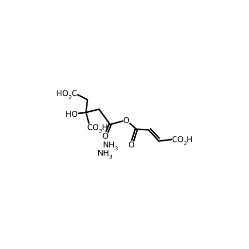 N.N.O=C(O)/C=C/C(=O)OC(=O)CC(O)(CC(=O)O)C(=O)O